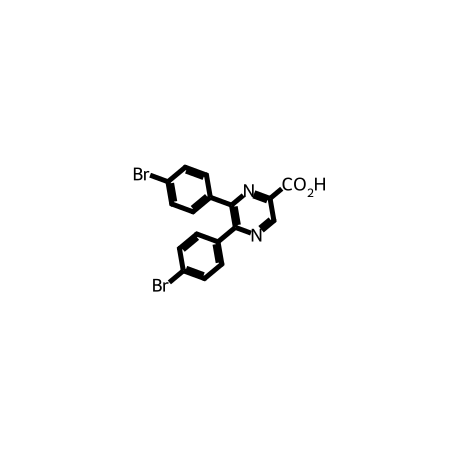 O=C(O)c1cnc(-c2ccc(Br)cc2)c(-c2ccc(Br)cc2)n1